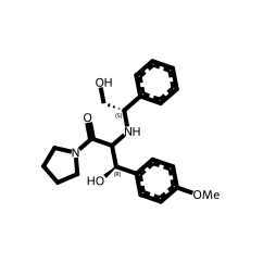 COc1ccc([C@@H](O)C(N[C@H](CO)c2ccccc2)C(=O)N2CCCC2)cc1